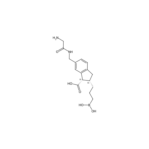 NCC(=O)NCc1ccc2c(c1)[C@@H](C(=O)O)[C@@H](CCCB(O)O)C2